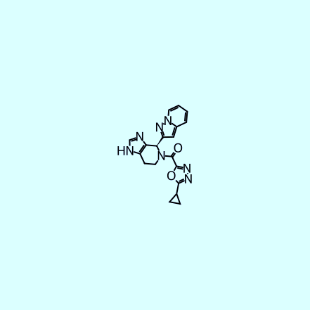 O=C(c1nnc(C2CC2)o1)N1CCc2[nH]cnc2[C@H]1c1cc2ccccn2n1